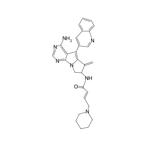 C=C1c2c(-c3cnc4ccccc4c3)c3c(N)ncnc3n2CC1NC(=O)C=CCN1CCCCC1